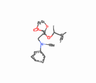 CCO[Si](CN(c1ccccc1)C(C)(C)C)(OCC)OC(C)[SiH](C)C